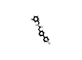 O=C(Cc1ccc(-c2cc[n+]([O-])cc2)cc1)NCc1cccc(F)c1